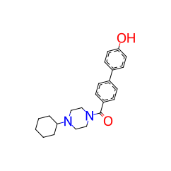 O=C(c1ccc(-c2ccc(O)cc2)cc1)N1CCN(C2CCCCC2)CC1